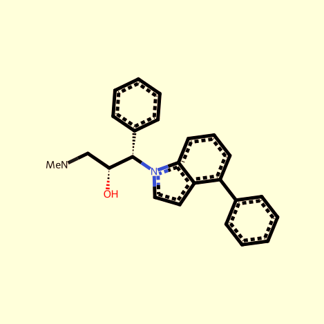 CNC[C@@H](O)[C@H](c1ccccc1)n1ccc2c(-c3ccccc3)cccc21